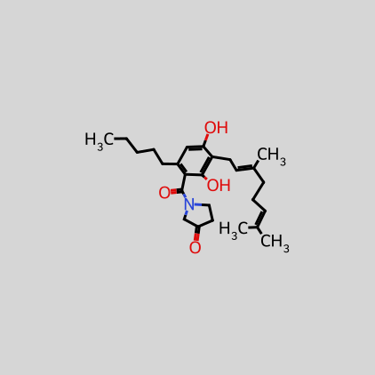 CCCCCc1cc(O)c(C/C=C(\C)CCC=C(C)C)c(O)c1C(=O)N1CCC(=O)C1